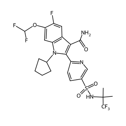 CC(C)(NS(=O)(=O)c1ccc(-c2c(C(N)=O)c3cc(F)c(OC(F)F)cc3n2C2CCCC2)nc1)C(F)(F)F